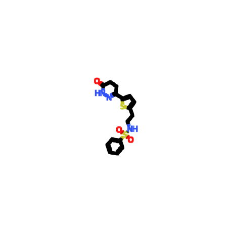 O=C1CCC(c2ccc(CCNS(=O)(=O)c3ccccc3)s2)=NN1